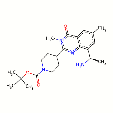 Cc1cc([C@@H](C)N)c2nc(C3CCN(C(=O)OC(C)(C)C)CC3)n(C)c(=O)c2c1